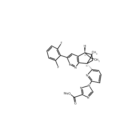 COC(=O)c1ncn(-c2cccc([C@]34CC[C@@H](c5cc(-c6c(F)cccc6F)nnc53)C4(C)C)n2)n1